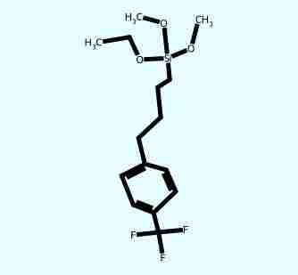 CCO[Si](CCCCc1ccc(C(F)(F)F)cc1)(OC)OC